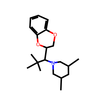 CC1CC(C)CN(C(C2COc3ccccc3O2)C(C)(C)C)C1